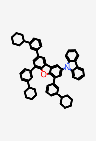 c1cc(-c2cc(-c3cccc(C4CCCCC4)c3)c3oc4c(-c5cccc(C6CCCCC6)c5)cc(-n5c6ccccc6c6ccccc65)cc4c3c2)cc(C2CCCCC2)c1